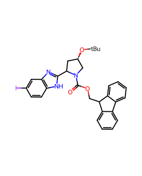 CC(C)(C)O[C@@H]1CC(c2nc3cc(I)ccc3[nH]2)N(C(=O)OCC2c3ccccc3-c3ccccc32)C1